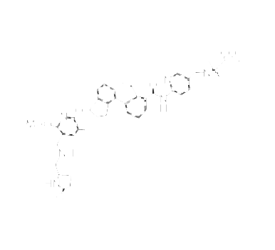 COc1nc(O[C@H]2CCc3c(-c4cccc(C(=O)Nc5ccc(CNC(C)(C)CC(=O)O)cn5)c4Cl)cccc32)c(Cl)cc1CNCC1CCC(=O)N1